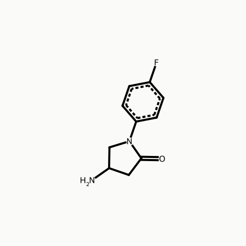 NC1CC(=O)N(c2ccc(F)cc2)C1